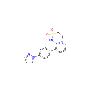 O=S1(=O)CC[n+]2cccc(-c3ccc(-n4cccn4)cc3)c2N1